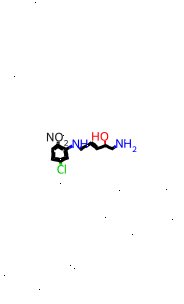 NC[C@H](O)/C=C/CNc1cc(Cl)ccc1[N+](=O)[O-]